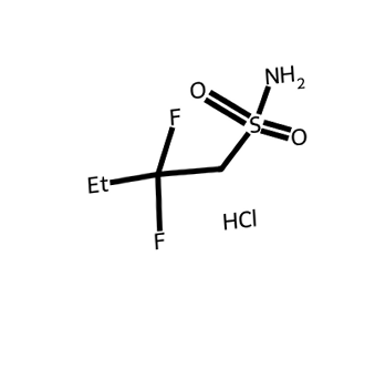 CCC(F)(F)CS(N)(=O)=O.Cl